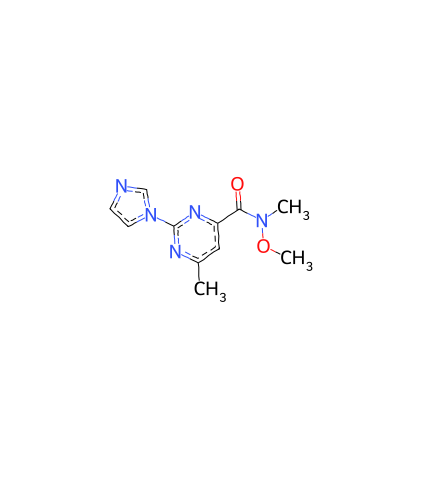 CON(C)C(=O)c1cc(C)nc(-n2ccnc2)n1